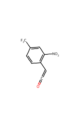 O=C=Cc1ccc(C(F)(F)F)cc1[N+](=O)[O-]